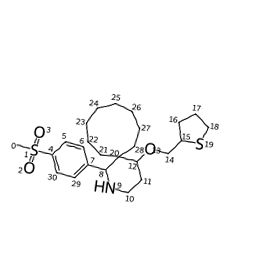 CS(=O)(=O)c1ccc(C2NCCC(OCC3CCCS3)C23CCCCCCCC3)cc1